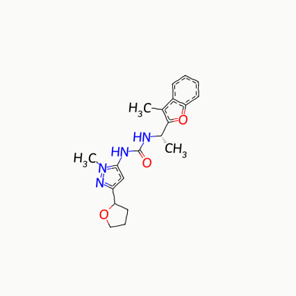 Cc1c([C@H](C)NC(=O)Nc2cc(C3CCCO3)nn2C)oc2ccccc12